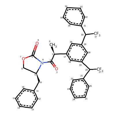 C[C@H](C(=O)N1C(=O)OC[C@@H]1Cc1ccccc1)c1cc(C(c2ccccc2)C(F)(F)F)cc(C(c2ccccc2)C(F)(F)F)c1